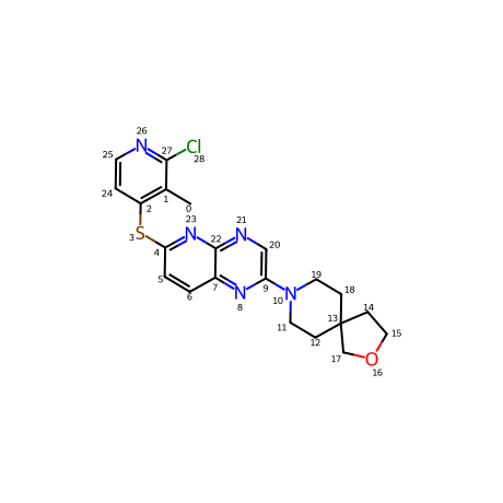 Cc1c(Sc2ccc3nc(N4CCC5(CCOC5)CC4)cnc3n2)ccnc1Cl